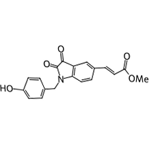 COC(=O)/C=C/c1ccc2c(c1)C(=O)C(=O)N2Cc1ccc(O)cc1